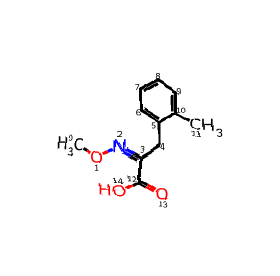 CON=C(Cc1ccccc1C)C(=O)O